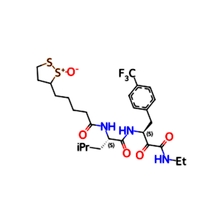 CCNC(=O)C(=O)[C@H](Cc1ccc(C(F)(F)F)cc1)NC(=O)[C@H](CC(C)C)NC(=O)CCCCC1CCS[S+]1[O-]